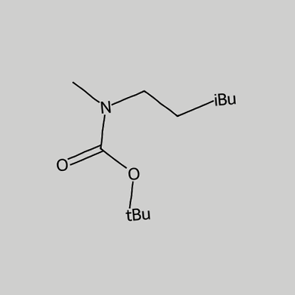 CCC(C)CCN(C)C(=O)OC(C)(C)C